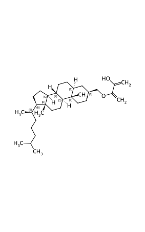 C=C(O)C(=C)OC[C@H]1CC[C@@]2(C)[C@@H](CC[C@@H]3[C@@H]2CC[C@]2(C)[C@@H]([C@H](C)CCCC(C)C)CC[C@@H]32)C1